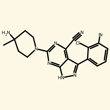 CC1(N)CCN(c2nc(C#N)c3c(-c4cccc(Br)c4Cl)n[nH]c3n2)CC1